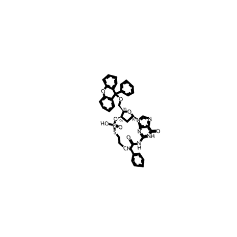 N#CCCSP(=O)(O)O[C@H]1C[C@H](n2cnc3c(=O)[nH]c(NC(=O)Cc4ccccc4)nc32)O[C@@H]1COC1(c2ccccc2)c2ccccc2Oc2ccccc21